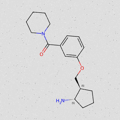 N[C@H]1CCC[C@@H]1COc1cccc(C(=O)N2CCCCC2)c1